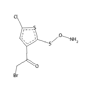 NOSc1sc(Cl)cc1C(=O)CBr